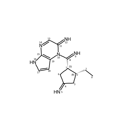 CC[C@@H]1CC(=N)C[C@@H]1C(=N)n1c(=N)cnc2[nH]ccc21